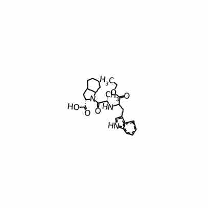 CCOC(=O)C(Cc1c[nH]c2ccccc12)N[C@@H](C)C(=O)N1C2CCCCC2C[C@H]1C(=O)O